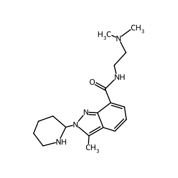 Cc1c2cccc(C(=O)NCCN(C)C)c2nn1C1CCCCN1